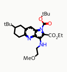 CCOC(=O)c1c(NCCOC)c2nc3c(cc2n1C(=O)OC(C)(C)C)CC(C(C)(C)C)CC3